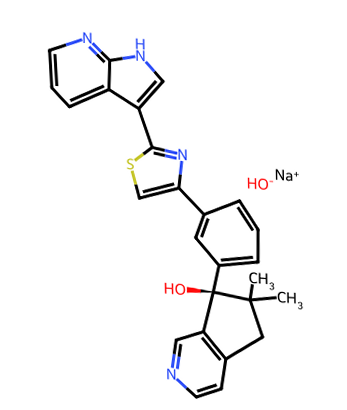 CC1(C)Cc2ccncc2[C@]1(O)c1cccc(-c2csc(-c3c[nH]c4ncccc34)n2)c1.[Na+].[OH-]